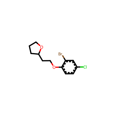 Clc1ccc(OCCC2CCCO2)c(Br)c1